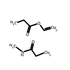 C=COC(=O)CC.CCC(=O)NC